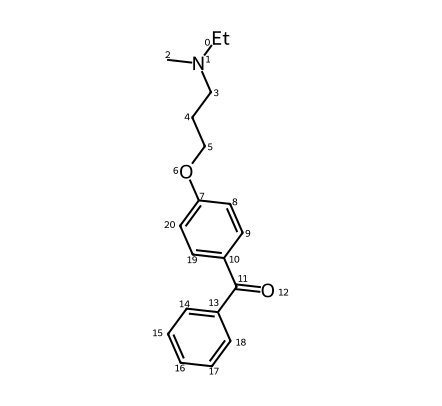 CCN(C)CCCOc1ccc(C(=O)c2ccccc2)cc1